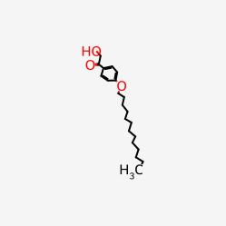 CCCCCCCCCCCCCOc1ccc(C(=O)CO)cc1